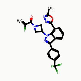 C=C(F)C(=O)N1CC(n2nc(-c3ccc(C(F)(F)F)cc3)c3cccc(-c4nnc(C)o4)c32)C1